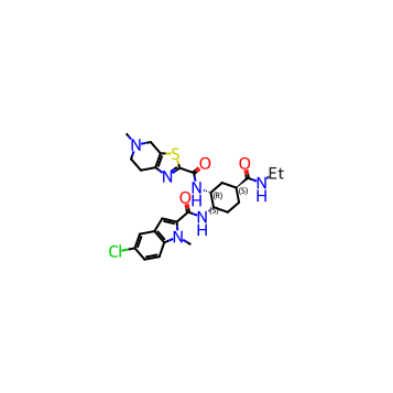 CCNC(=O)[C@H]1CC[C@H](NC(=O)c2cc3cc(Cl)ccc3n2C)[C@H](NC(=O)c2nc3c(s2)CN(C)CC3)C1